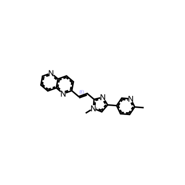 Cc1ccc(-c2cn(C)c(/C=C/c3ccc4ncccc4n3)n2)cn1